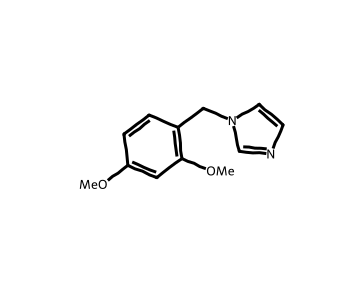 COc1ccc(Cn2ccnc2)c(OC)c1